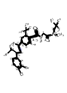 CN(CC(F)(F)F)C(=O)CNC(=O)c1ccc(/C(F)=C/C(c2ccc(Cl)c(Br)c2)C(F)F)cc1C(F)(F)F